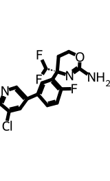 NC1=N[C@](c2cc(-c3cncc(Cl)c3)ccc2F)(C(F)F)CCO1